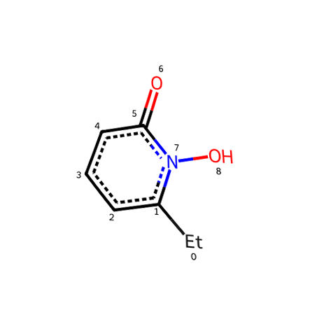 CCc1cccc(=O)n1O